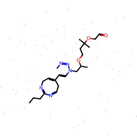 CCCC1=N/CC=C(/C=C/N(CC(C)OCCC(C)(C)OCC=O)/N=N\C)C/C=N\1